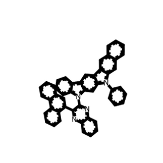 c1ccc(-n2c3cc4ccccc4cc3c3cc4c5ccccc5n(-c5nc6ccccc6nc5-c5cc6ccccc6c6ccccc56)c4cc32)cc1